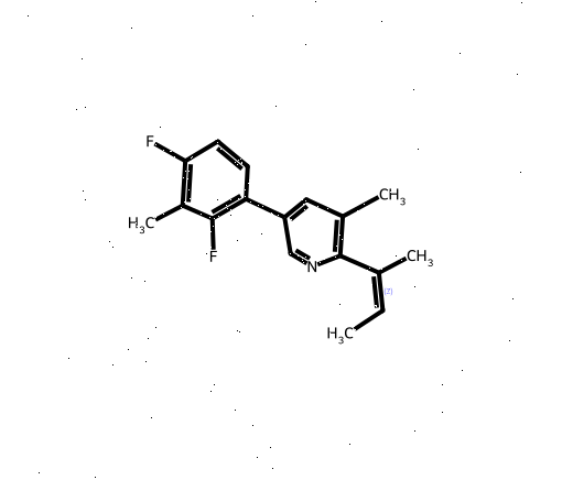 C/C=C(/C)c1ncc(-c2ccc(F)c(C)c2F)cc1C